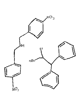 CCCCC(CC)C(c1ccccc1)c1ccccc1.O=[N+]([O-])c1ccc(CNCc2ccc([N+](=O)[O-])cc2)cc1